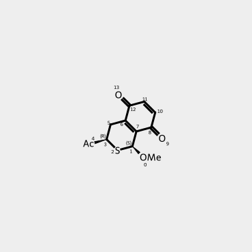 CO[C@H]1S[C@@H](C(C)=O)CC2=C1C(=O)C=CC2=O